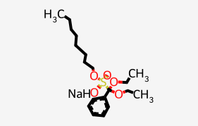 CCCCCCCCOS(=O)(=O)C(OCC)(OCC)c1ccccc1.[NaH]